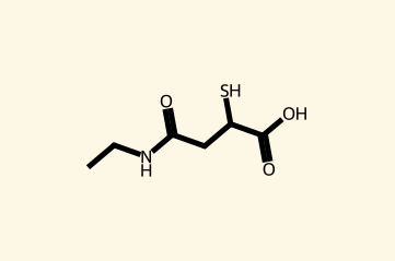 CCNC(=O)CC(S)C(=O)O